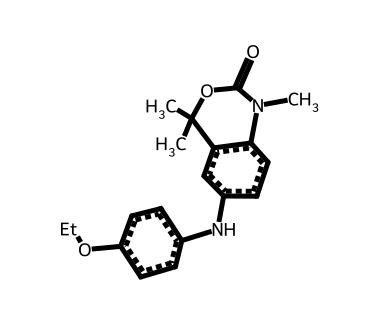 CCOc1ccc(Nc2ccc3c(c2)C(C)(C)OC(=O)N3C)cc1